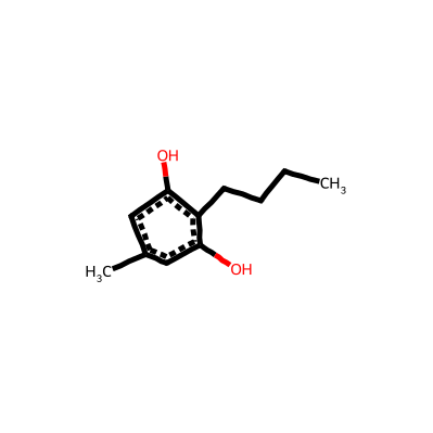 CCCCc1c(O)cc(C)cc1O